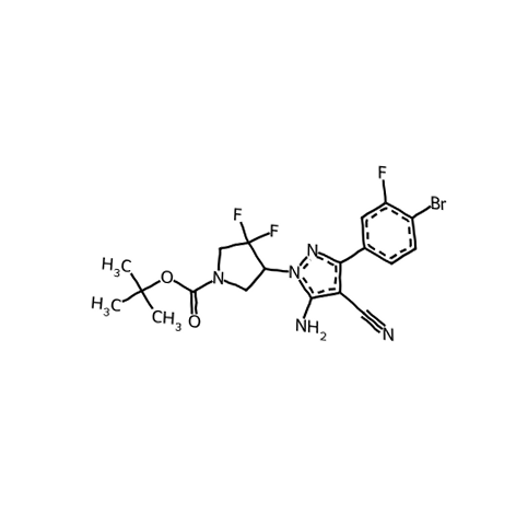 CC(C)(C)OC(=O)N1CC(n2nc(-c3ccc(Br)c(F)c3)c(C#N)c2N)C(F)(F)C1